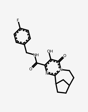 O=C(NCc1ccc(F)cc1)c1nc2n(c(=O)c1O)CCC1CC[C]2C1